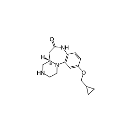 O=C1C[C@H]2CNCCN2c2cc(OCC3CC3)ccc2N1